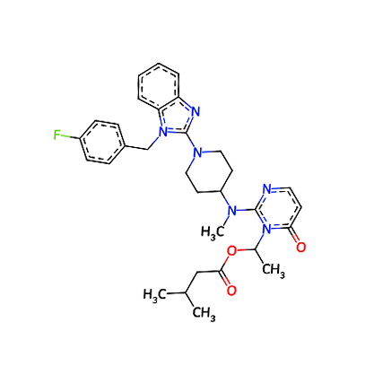 CC(C)CC(=O)OC(C)n1c(N(C)C2CCN(c3nc4ccccc4n3Cc3ccc(F)cc3)CC2)nccc1=O